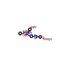 CCCCCCCOc1ccc(-c2cnc(-c3ccc(C[C@H](NC(=O)c4ccc(OC(C)C)cc4)C(=O)NC(C(=O)O)C(O)c4ccccc4)cc3)nc2)cc1